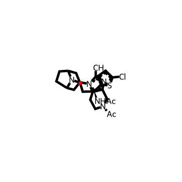 CC(=O)N[C@@H](CCN1C2CCC1CC(n1c(C)nc3c1CCN(C(C)=O)C3)C2)c1ccc(Cl)s1